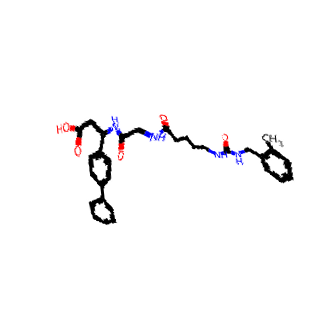 Cc1ccccc1CNC(=O)NCCCCC(=O)NCC(=O)NC(CC(=O)O)c1ccc(-c2ccccc2)cc1